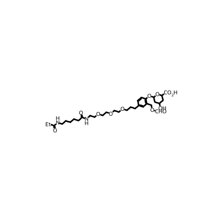 CCC(=O)NCCCCCC(=O)NCCOCCOCCOCCCc1ccc(OC2CC(O)CC(C(=O)O)O2)c(COC=O)c1